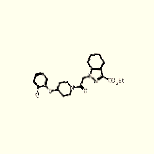 CCOC(=O)c1nn(CC(=O)N2CCC(Oc3ccccc3Cl)CC2)c2c1CCCC2